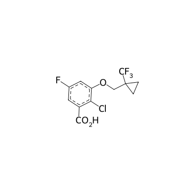 O=C(O)c1cc(F)cc(OCC2(C(F)(F)F)CC2)c1Cl